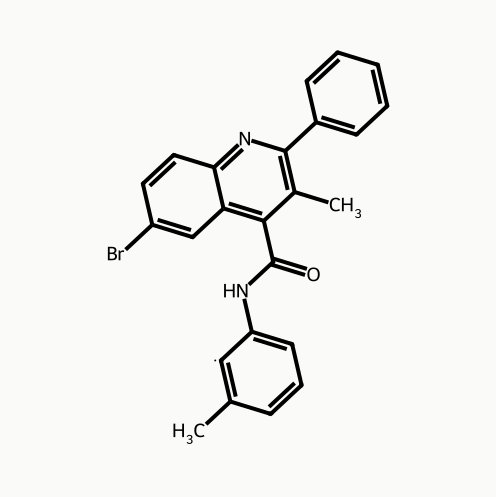 Cc1[c]c(NC(=O)c2c(C)c(-c3ccccc3)nc3ccc(Br)cc23)ccc1